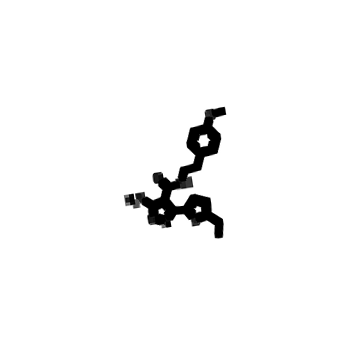 CCc1ccc(-c2noc(N)c2C(=O)NCCc2ccc(OC)cc2)s1